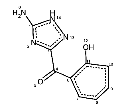 Nc1nc(C(=O)c2ccccc2O)n[nH]1